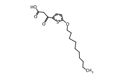 CCCCCCCCCCOc1ccc(C(=O)CC(=O)O)s1